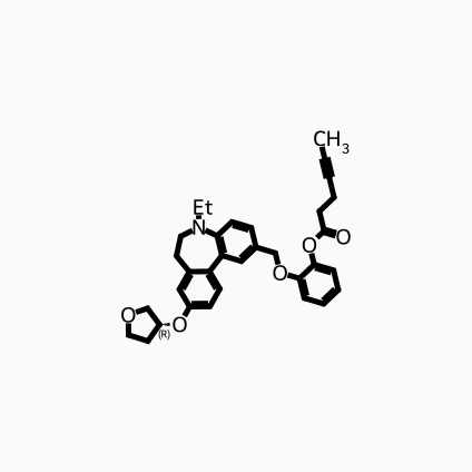 CC#CCCC(=O)Oc1ccccc1OCc1ccc2c(c1)-c1ccc(O[C@@H]3CCOC3)cc1CCN2CC